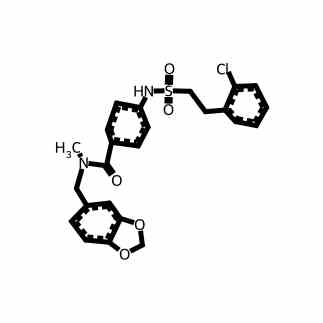 CN(Cc1ccc2c(c1)OCO2)C(=O)c1ccc(NS(=O)(=O)CCc2ccccc2Cl)cc1